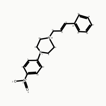 O=[N+]([O-])c1ccc(N2CCN(C/C=C/c3ccccc3)CC2)cc1